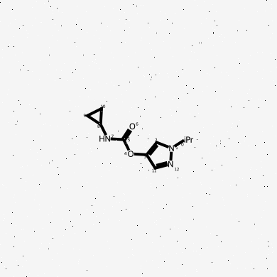 CC(C)n1cc(OC(=O)NC2CC2)cn1